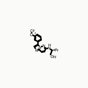 CC(C)[C@@H](CO)Nc1ccc2ncc(-c3cccc(OC(F)(F)F)c3)n2n1